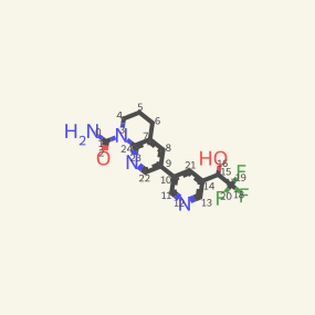 NC(=O)N1CCCc2cc(-c3cncc(C(O)C(F)(F)F)c3)cnc21